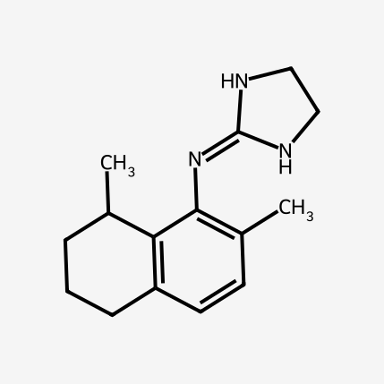 Cc1ccc2c(c1N=C1NCCN1)C(C)CCC2